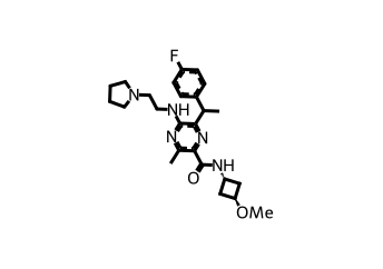 CO[C@H]1C[C@H](NC(=O)c2nc(C(C)c3ccc(F)cc3)c(NCCN3CCCC3)nc2C)C1